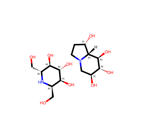 OC[C@H]1N[C@H](CO)[C@@H](O)[C@H](O)[C@H]1O.O[C@H]1[C@H](O)[C@@H](O)CN2CC[C@H](O)[C@H]12